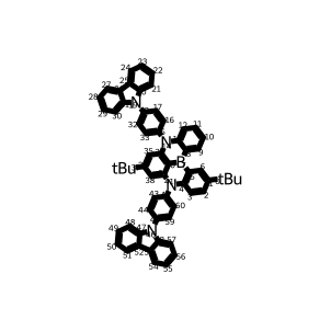 CC(C)(C)c1ccc2c(c1)B1c3ccccc3N(c3ccc(-n4c5ccccc5c5ccccc54)cc3)c3cc(C(C)(C)C)cc(c31)N2c1ccc(-n2c3ccccc3c3ccccc32)cc1